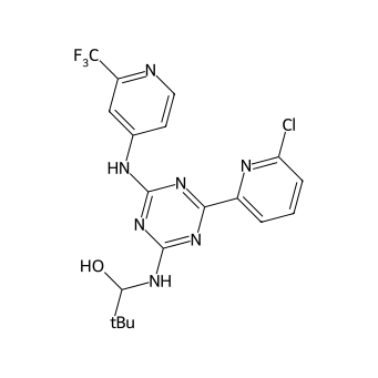 CC(C)(C)C(O)Nc1nc(Nc2ccnc(C(F)(F)F)c2)nc(-c2cccc(Cl)n2)n1